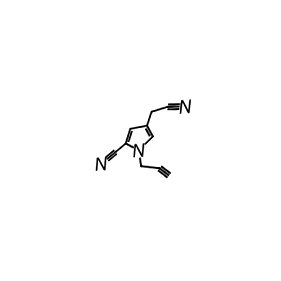 C#CCn1cc(CC#N)cc1C#N